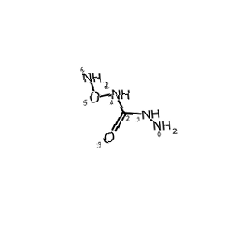 NNC(=O)NON